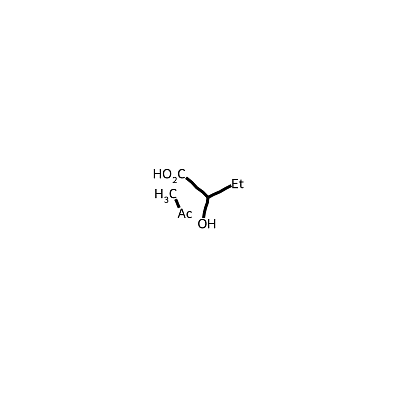 CC(C)=O.CCC(O)C(=O)O